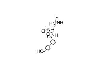 CC(Cl)NC(=O)[C@H](CCCNC(=N)CF)NC(=O)c1cccc(-c2ccc(CO)cc2)c1